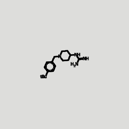 CC(C)(C)c1ccc(CN2CCC(NC(=N)N)CC2)cc1